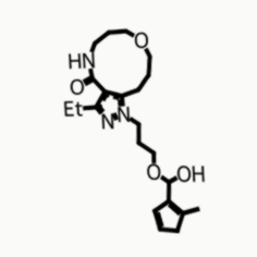 CCc1nn(CCCOC(O)C2=C(C)CC=C2)c2c1C(=O)NCCCOCCC2